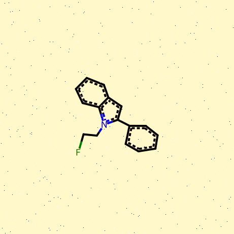 FCCn1c(-c2ccccc2)cc2ccccc21